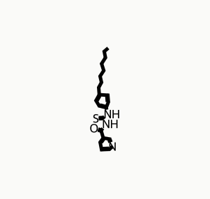 CCCCCCCCc1ccc(NC(=S)NC(=O)c2cccnc2)cc1